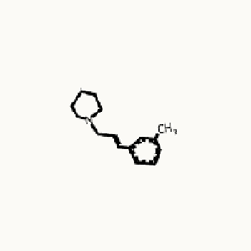 Cc1cccc(C=CCN2CC[CH]CC2)c1